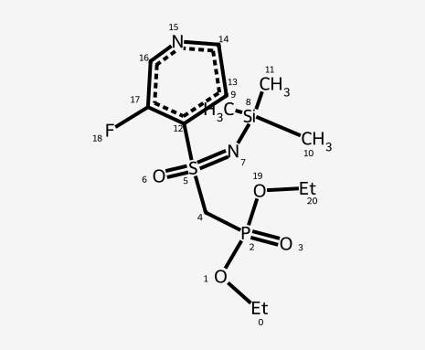 CCOP(=O)(CS(=O)(=N[Si](C)(C)C)c1ccncc1F)OCC